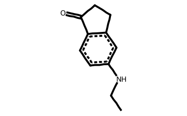 CCNc1ccc2c(c1)CCC2=O